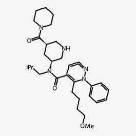 COCCCCC1=C(C(=O)N(CC(C)C)[C@@H]2CNC[C@H](C(=O)N3CCCCC3)C2)C=C=NN1c1ccccc1